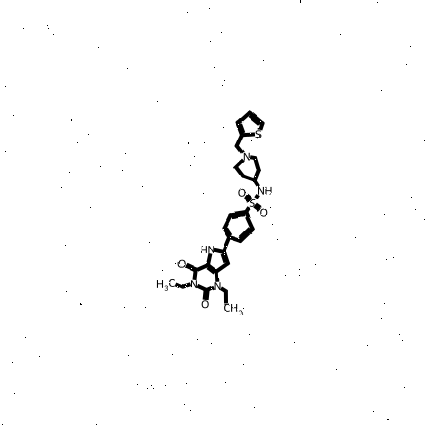 CCn1c(=O)c2[nH]c(-c3ccc(S(=O)(=O)NC4CCN(Cc5cccs5)CC4)cc3)cc2n(CC)c1=O